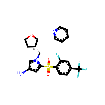 Nc1cc(S(=O)(=O)c2ccc(C(F)(F)F)cc2F)n(C[C@@H]2CCOC2)c1.c1ccncc1